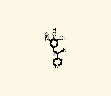 N#C/C(=C\c1cc(O)c(O)c(N=O)c1)c1ccncc1